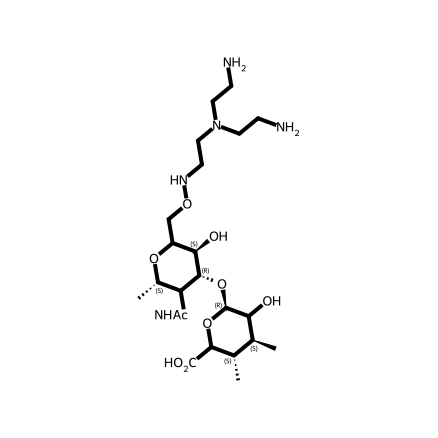 CC(=O)NC1[C@H](C)OC(CONCCN(CCN)CCN)[C@@H](O)[C@@H]1O[C@@H]1OC(C(=O)O)[C@@H](C)[C@H](C)C1O